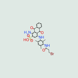 Cc1cc(C)c(Nc2cc(S(=O)(=O)O)c(N)c3c2C(=O)c2ccccc2C3=O)c(C)c1NC(=O)CCBr